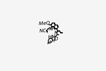 C=C/C=C(\N=C(/C)C(=O)N[C@@H]1CCN(C)C[C@@H]1F)c1ccc2ccc(COC)c(NCC(=C)C#N)c2c1